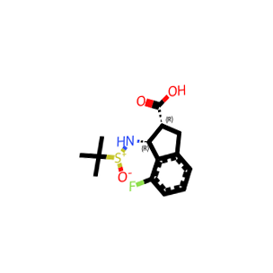 CC(C)(C)[S+]([O-])N[C@H]1c2c(F)cccc2C[C@H]1C(=O)O